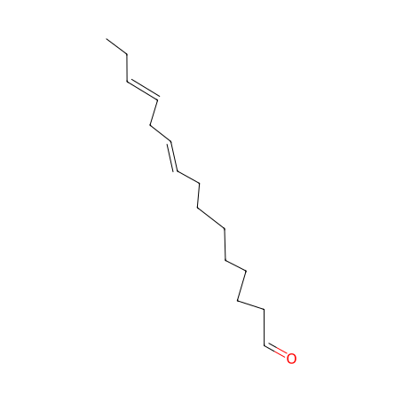 CCC=CCC=CCCCCCCCC=O